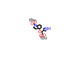 CC(C)(C)OC(=O)C(Oc1cccc2c1ccn2C(=O)OC(C)(C)C)C1CNC1